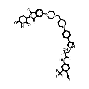 C[C@](O)(Cn1cc(-c2ccc(N3CCC(CN4CCN(c5ccc6c(c5)C(=O)N(C5CCC(=O)NC5=O)C6=O)CC4)CC3)cc2)cn1)C(=O)Nc1ccc(C#N)c(C(F)(F)F)c1